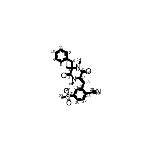 CN1C(=O)C(C)(Cc2ccccc2)N(C)C(=O)C1=Cc1cc(S(C)(=O)=O)ccc1C#N